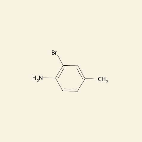 [CH2]c1ccc(N)c(Br)c1